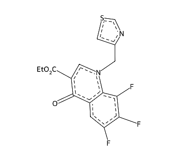 CCOC(=O)c1cn(Cc2cscn2)c2c(F)c(F)c(F)cc2c1=O